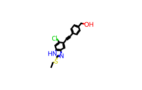 CCSc1nc2cc(C#Cc3ccc(CO)cc3)c(Cl)cc2[nH]1